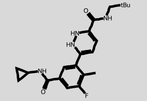 Cc1c(F)cc(C(=O)NC2CC2)cc1C1=CC=C(C(=O)NCC(C)(C)C)NN1